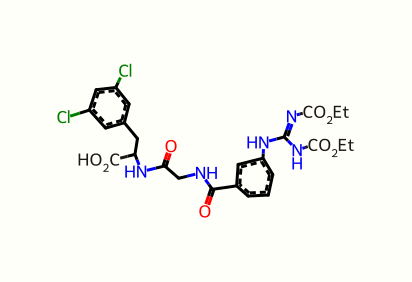 CCOC(=O)N=C(NC(=O)OCC)Nc1cccc(C(=O)NCC(=O)NC(Cc2cc(Cl)cc(Cl)c2)C(=O)O)c1